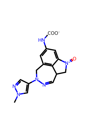 Cn1cc(N2Cc3cc(NC(=O)[O-])cc4c3C(C=N2)C[N+]4=O)cn1